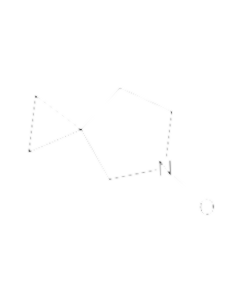 [O]N1CCC2(CC2)C1